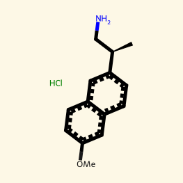 COc1ccc2cc([C@H](C)CN)ccc2c1.Cl